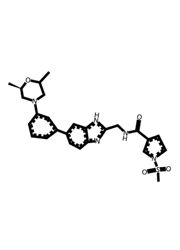 CC1CN(c2cccc(-c3ccc4nc(CNC(=O)c5ccn(S(C)(=O)=O)c5)[nH]c4c3)c2)C[C@@H](C)O1